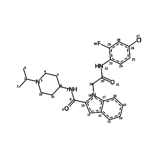 CC(C)N1CCC(NC(=O)c2cc3ccccc3n2CC(=O)Nc2ccc(Cl)cc2F)CC1